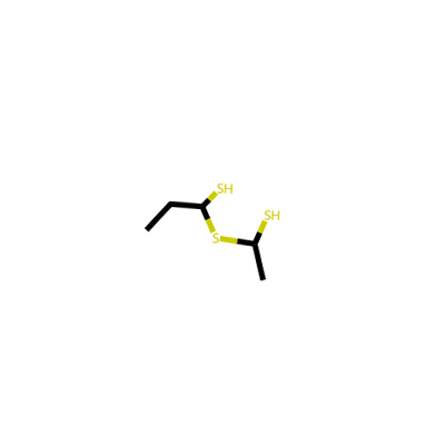 CCC(S)SC(C)S